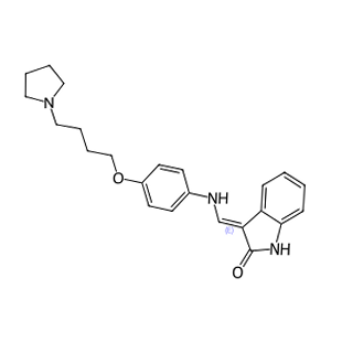 O=C1Nc2ccccc2/C1=C\Nc1ccc(OCCCCN2CCCC2)cc1